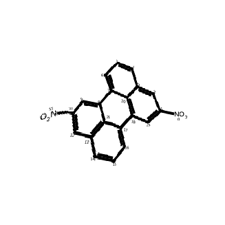 O=[N+]([O-])c1cc2cccc3c4cc([N+](=O)[O-])cc5cccc(c(c1)c23)c54